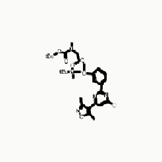 Cc1noc(C)c1-c1cc(Cl)nc(-c2cccc(OC[C@@H](CN(C)C(=O)OC(C)(C)C)O[Si](C)(C)C(C)(C)C)c2)n1